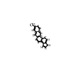 Clc1ccc2cc3c(ccc4c5c(ccc43)CC=C5)cc2c1